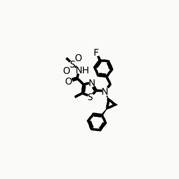 Cc1sc(N(Cc2ccc(F)cc2)[C@@H]2C[C@H]2c2ccccc2)nc1C(=O)NS(C)(=O)=O